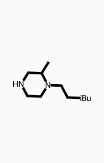 CCC(C)CCN1CCNCC1C